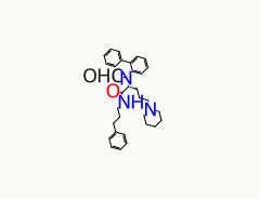 O=CN(c1ccccc1-c1ccccc1)[C@@H](CCCN1CCCCC1)C(=O)NCCCc1ccccc1